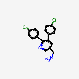 NCc1cnc(-c2ccc(Cl)cc2)c(-c2ccc(Cl)cc2)c1